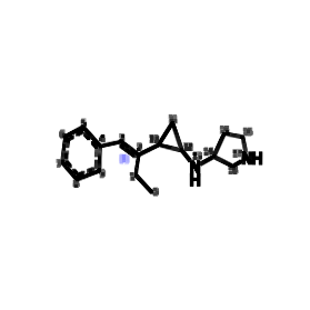 CC/C(=C\c1ccccc1)C1CC1NC1CCNC1